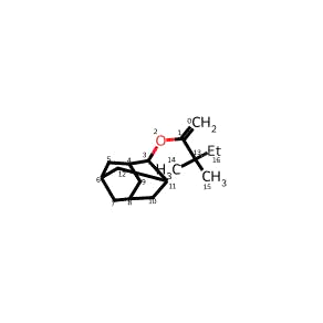 C=C(OC1C2CC3CC(C2)CC1C3)C(C)(C)CC